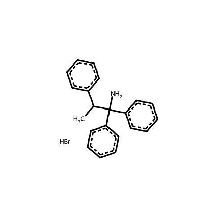 Br.CC(c1ccccc1)C(N)(c1ccccc1)c1ccccc1